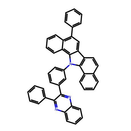 c1ccc(-c2nc3ccccc3nc2-c2cccc(-n3c4c5ccccc5ccc4c4cc(-c5ccccc5)c5ccccc5c43)c2)cc1